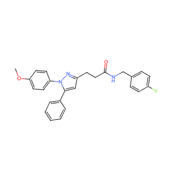 COc1ccc(-n2nc(CCC(=O)NCc3ccc(F)cc3)cc2-c2ccccc2)cc1